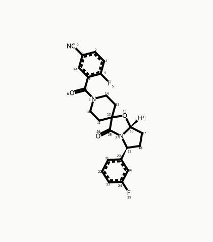 N#Cc1ccc(F)c(C(=O)N2CCC3(CC2)O[C@@H]2CC[C@@H](c4cccc(F)c4)N2C3=O)c1